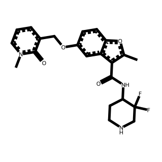 Cc1oc2ccc(OCc3cccn(C)c3=O)cc2c1C(=O)NC1CCNCC1(F)F